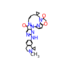 CN1CCc2ccc(Nc3ncc4c(=O)n5n(c4n3)-c3ccc4c(n3)N(CC3(C/C=C\C5)CC3)C(=O)CO4)cc2C12CC2